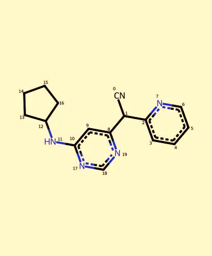 N#CC(c1ccccn1)c1cc(NC2CCCC2)ncn1